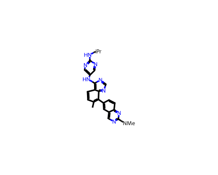 CNc1ncc2cc(-c3c(C)ccc4c(Nc5cnc(NC(C)C)nc5)ncnc34)ccc2n1